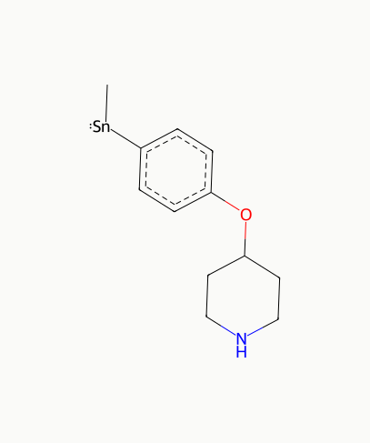 [CH3][Sn][c]1ccc(OC2CCNCC2)cc1